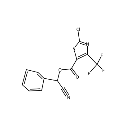 N#CC(OC(=O)c1sc(Cl)nc1C(F)(F)F)c1ccccc1